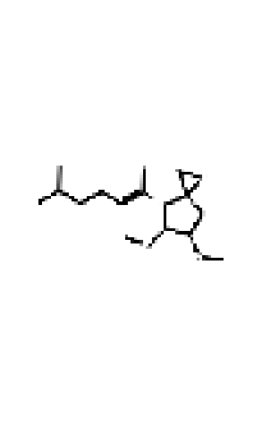 CO[C@@H]1[C@H](OC)C[C@]2(CO2)[C@H]1/C(C)=C/CCC(C)C